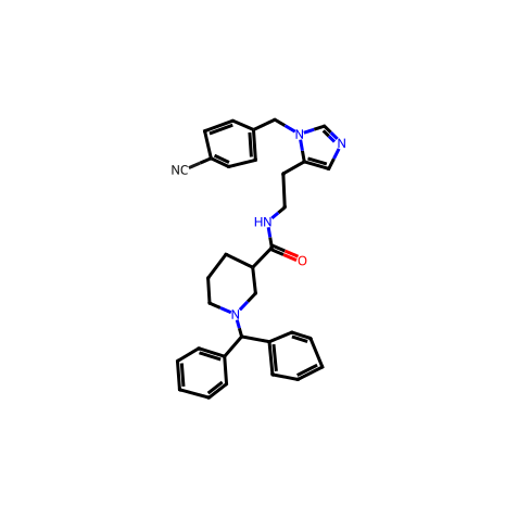 N#Cc1ccc(Cn2cncc2CCNC(=O)C2CCCN(C(c3ccccc3)c3ccccc3)C2)cc1